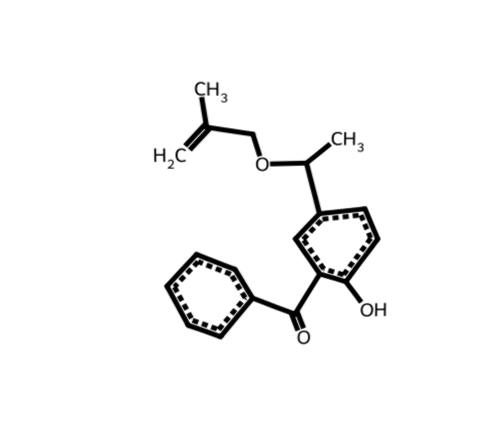 C=C(C)COC(C)c1ccc(O)c(C(=O)c2ccccc2)c1